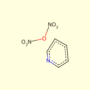 O=[N+]([O-])O[N+](=O)[O-].c1ccncc1